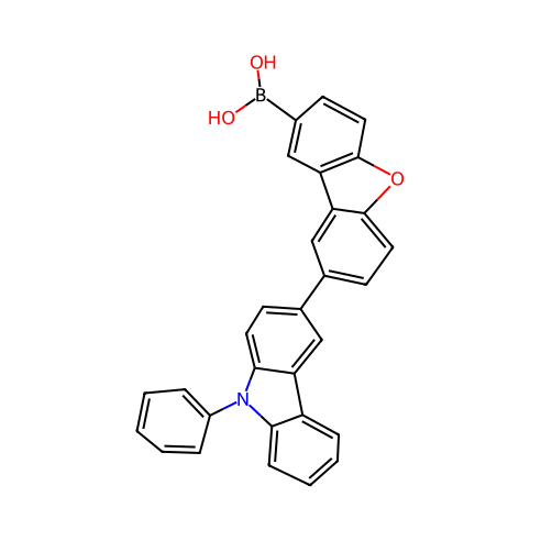 OB(O)c1ccc2oc3ccc(-c4ccc5c(c4)c4ccccc4n5-c4ccccc4)cc3c2c1